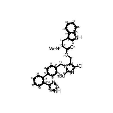 CCCCc1nc(Cl)c(COC(=O)[C@@H](Cc2c[nH]c3ccccc23)NC)n1Cc1ccc(-c2ccccc2-c2nn[nH]n2)cc1